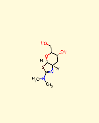 CN(C)C1=N[C@@H]2C[C@@H](O)[C@@H](CO)O[C@@H]2S1